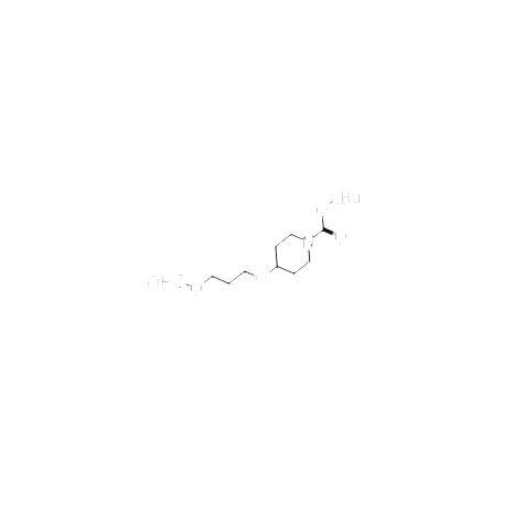 CC(C)(C)OC(=O)N1CCC(OCCCOC=O)CC1